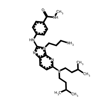 CNC(=O)c1ccc(Nc2nc3ccc(N(CCC(C)C)CCC(C)C)nc3n2CCCN)cc1